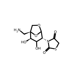 NC[C@@]12COC(O1)[C@H](N1C(=O)CSC1=O)C(O)[C@H]2O